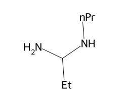 CCCNC(N)CC